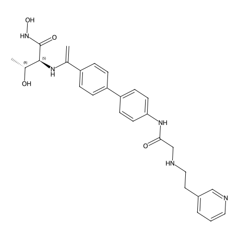 C=C(N[C@H](C(=O)NO)[C@@H](C)O)c1ccc(-c2ccc(NC(=O)CNCCc3cccnc3)cc2)cc1